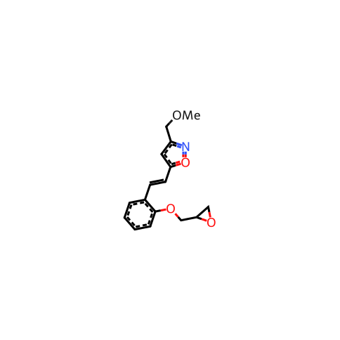 COCc1cc(C=Cc2ccccc2OCC2CO2)on1